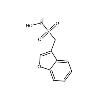 O=S(=O)(Cc1coc2ccccc12)NO